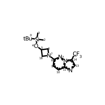 CC(C)(C)[Si](C)(C)OC1CN(c2ccc3ncc(C(F)(F)F)n3n2)C1